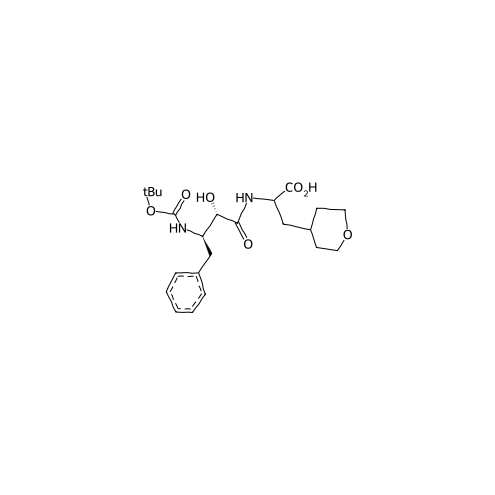 CC(C)(C)OC(=O)N[C@H](Cc1ccccc1)[C@H](O)C(=O)NC(CC1CCOCC1)C(=O)O